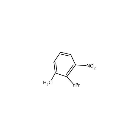 CCCc1c(C)cccc1[N+](=O)[O-]